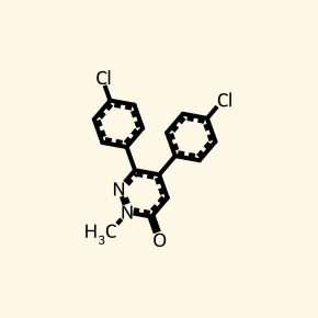 Cn1nc(-c2ccc(Cl)cc2)c(-c2ccc(Cl)cc2)cc1=O